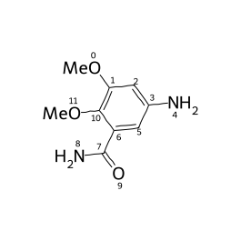 COc1cc(N)cc(C(N)=O)c1OC